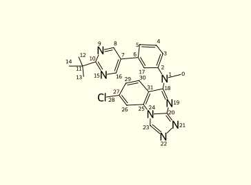 CN(c1cccc(-c2cnc(C(C)(C)C)nc2)c1)c1nc2nncn2c2cc(Cl)ccc12